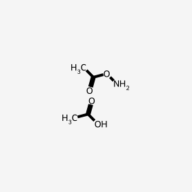 CC(=O)O.CC(=O)ON